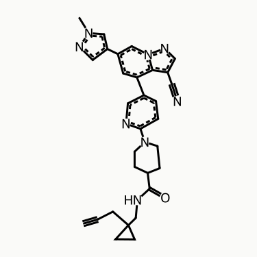 C#CCC1(CNC(=O)C2CCN(c3ccc(-c4cc(-c5cnn(C)c5)cn5ncc(C#N)c45)cn3)CC2)CC1